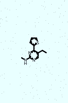 CCc1cnc(NC)nc1-c1cccs1